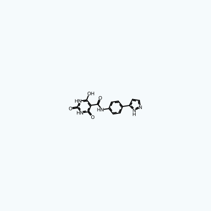 O=C(Nc1ccc(-c2ccn[nH]2)cc1)c1c(O)[nH]c(=O)[nH]c1=O